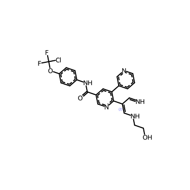 N=C/C(=C\NCCO)c1ncc(C(=O)Nc2ccc(OC(F)(F)Cl)cc2)cc1-c1cccnc1